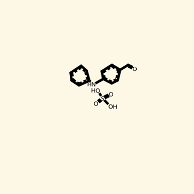 O=Cc1ccc(Nc2ccccc2)cc1.O=S(=O)(O)O